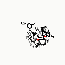 [2H]C([2H])([2H])C(n1nc(NC2[C@@H]3CC[C@H]2CN(c2cc(C)ncn2)C3)nc1Oc1cc(F)cc(Cl)c1)C([2H])([2H])[2H]